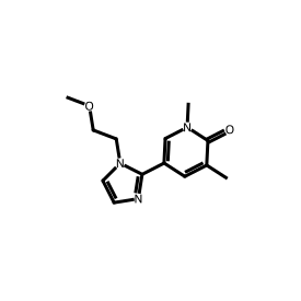 COCCn1ccnc1-c1cc(C)c(=O)n(C)c1